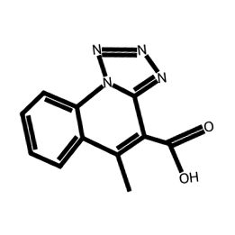 Cc1c(C(=O)O)c2nnnn2c2ccccc12